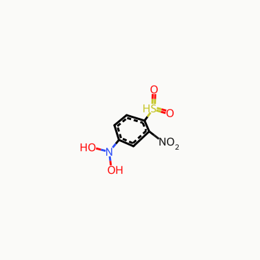 O=[N+]([O-])c1cc(N(O)O)ccc1[SH](=O)=O